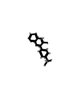 Cc1nc2ccccc2cc1-c1ccc(N(C)C)cc1